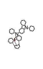 c1ccc(N(c2ccc3c(c2)c2ccccc2n3-c2ccccc2)c2cccc3c2-c2cccc4c2-c2ccccc2-c2cccc-4c2-3)cc1